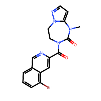 CN1C(=O)N(C(=O)c2cc3c(Br)cccc3cn2)CCn2nccc21